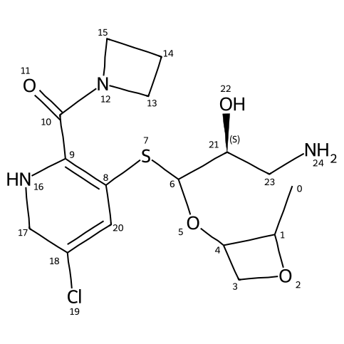 CC1OCC1OC(SC1=C(C(=O)N2CCC2)NCC(Cl)=C1)[C@@H](O)CN